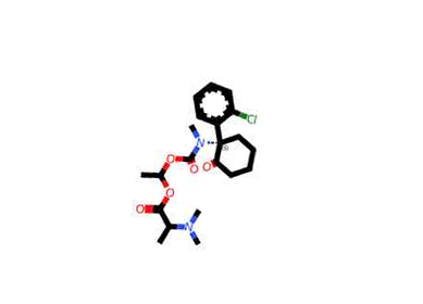 CC(OC(=O)C(C)N(C)C)OC(=O)N(C)[C@]1(c2ccccc2Cl)CCCCC1=O